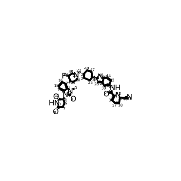 Cn1c(=O)n(C2CCC(=O)NC2=O)c2cccc([C@H]3CCN(C[C@H]4CC[C@H](n5cc6cc(NC(=O)c7cccc(C#N)n7)ccc6n5)CC4)C[C@@H]3F)c21